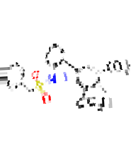 Cc1c(C(=O)O)cc(-c2ccccc2NS(=O)(=O)Cc2ccccc2)cc1C(=O)O